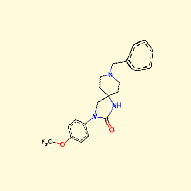 O=C1NC2(CCN(Cc3ccccc3)CC2)CN1c1ccc(OC(F)(F)F)cc1